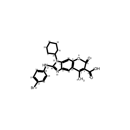 Cc1c(C(=O)O)c(=O)oc2cc3c(cc12)nc(Nc1ccc(Br)cc1)n3C1CCCCC1